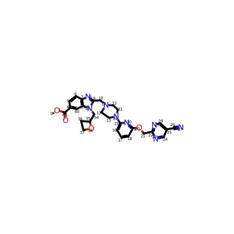 COC(=O)c1ccc2nc(CN3CCN(c4cccc(OCc5ncc(C#N)cn5)n4)CC3)n(CC3CCO3)c2c1